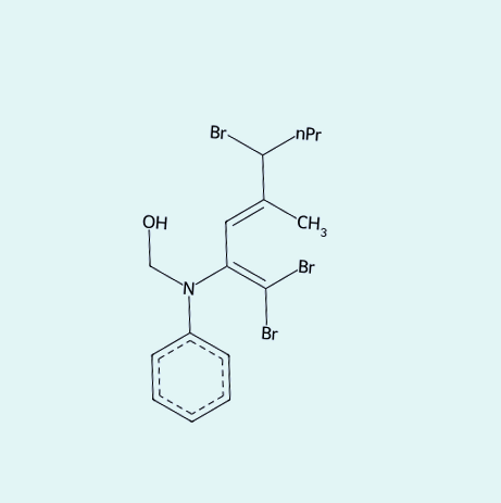 CCCC(Br)/C(C)=C/C(=C(Br)Br)N(CO)c1ccccc1